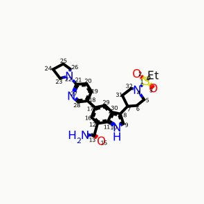 CCS(=O)(=O)N1CCC(c2c[nH]c3c(C(N)=O)cc(-c4ccc(N5CCCC5)nc4)cc23)CC1